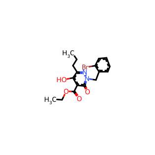 CCCc1nn(Cc2ccccc2Br)c(=O)c(C(=O)OCC)c1O